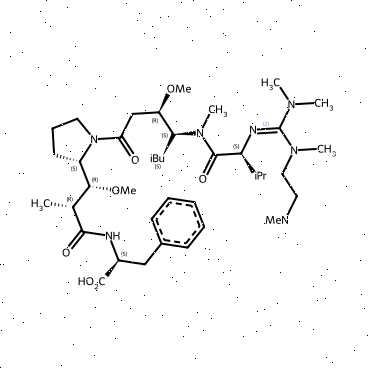 CC[C@H](C)[C@@H]([C@@H](CC(=O)N1CCC[C@H]1[C@H](OC)[C@@H](C)C(=O)N[C@@H](Cc1ccccc1)C(=O)O)OC)N(C)C(=O)[C@@H](/N=C(/N(C)C)N(C)CCNC)C(C)C